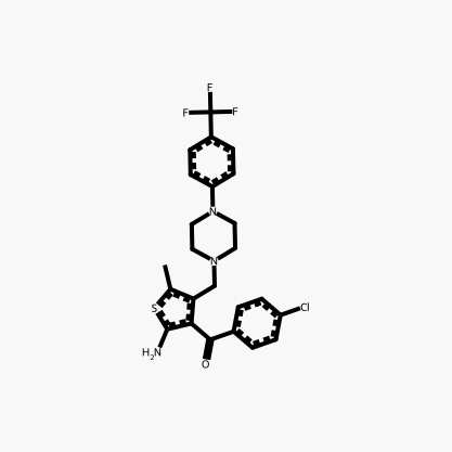 Cc1sc(N)c(C(=O)c2ccc(Cl)cc2)c1CN1CCN(c2ccc(C(F)(F)F)cc2)CC1